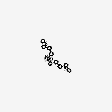 c1cc(-c2cccc(-c3cccc4c3sc3ccccc34)c2)cc(-c2cccc3c2oc2c(-c4cccc(-c5cccc(-c6cccc7c6sc6ccccc67)c5)c4)ncnc23)c1